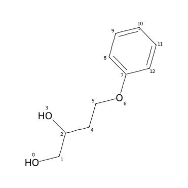 OCC(O)CCOc1cc[c]cc1